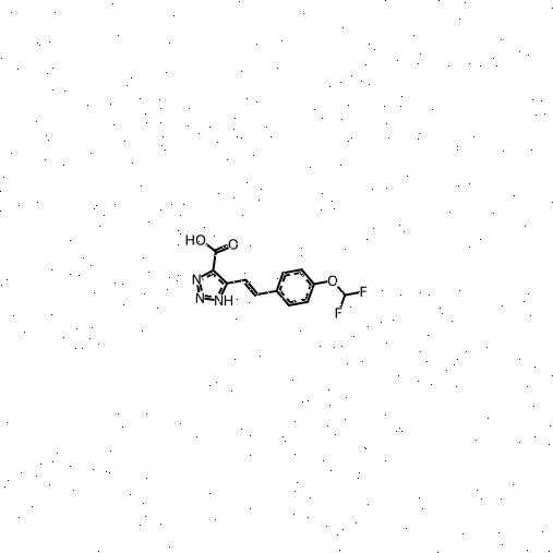 O=C(O)c1nn[nH]c1C=Cc1ccc(OC(F)F)cc1